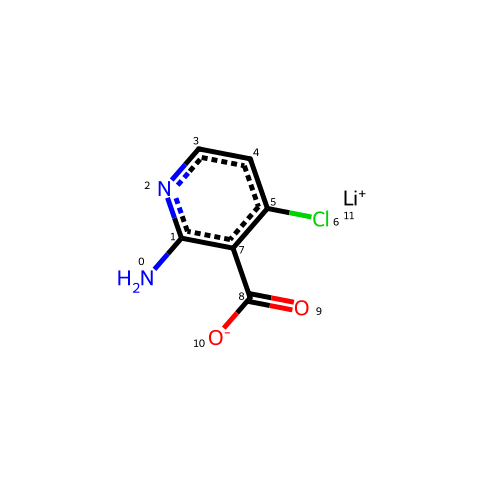 Nc1nccc(Cl)c1C(=O)[O-].[Li+]